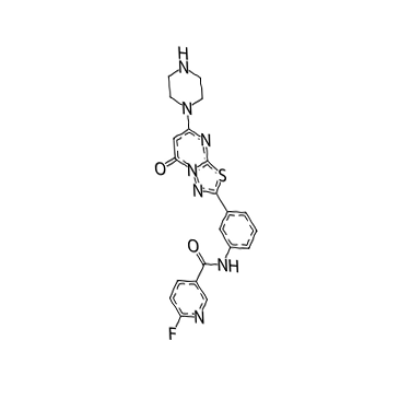 O=C(Nc1cccc(-c2nn3c(=O)cc(N4CCNCC4)nc3s2)c1)c1ccc(F)nc1